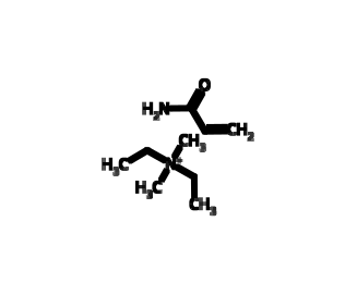 C=CC(N)=O.CC[N+](C)(C)CC